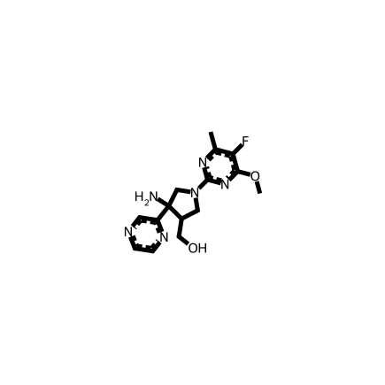 COc1nc(N2CC(CO)C(N)(c3cnccn3)C2)nc(C)c1F